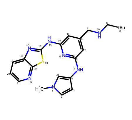 Cn1ccc(Nc2cc(CNCC(C)(C)C)cc(Nc3nc4cccnc4s3)n2)c1